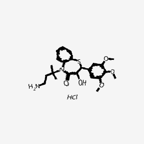 COc1cc(C2Sc3ccccc3N(C(C)(C)CCN)C(=O)C2O)cc(OC)c1OC.Cl